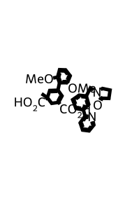 COc1cccc(OC)c1C1=CC(C)(C(=O)O)CC(C(=O)O)=C1.O=C1CCCN1Cc1cccc(-c2ccccn2)c1